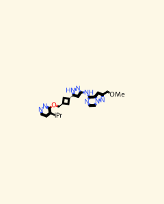 COCc1cc2c(Nc3cc([C@H]4C[C@H](COc5nnccc5C(C)C)C4)[nH]n3)nccn2n1